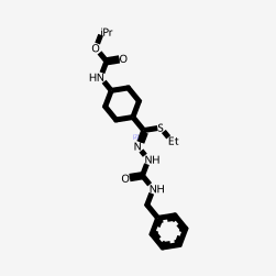 CCS/C(=N\NC(=O)NCc1ccccc1)C1CCC(NC(=O)OC(C)C)CC1